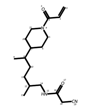 C=CC(=O)N1CCC(C(C)CCC(C)CNC(=O)CC#N)CC1